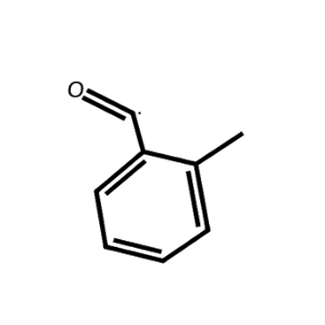 Cc1ccccc1[C]=O